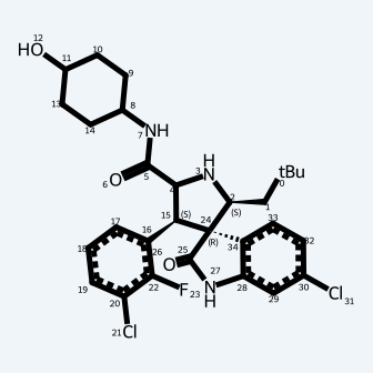 CC(C)(C)C[C@@H]1NC(C(=O)NC2CCC(O)CC2)[C@H](c2cccc(Cl)c2F)[C@]12C(=O)Nc1cc(Cl)ccc12